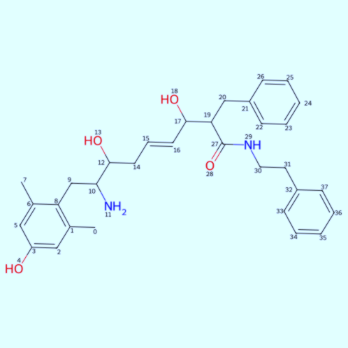 Cc1cc(O)cc(C)c1CC(N)C(O)CC=CC(O)C(Cc1ccccc1)C(=O)NCCc1ccccc1